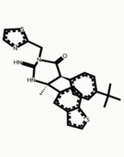 CC(C)(C)c1ccc([C@@H]2C(=O)N(Cc3nccs3)C(=N)N[C@]2(C)c2ccc3sccc3c2)cc1